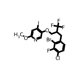 COc1cc(I)c(OCC(Cc2ccc(Cl)c(F)c2Br)C(F)(F)F)cn1